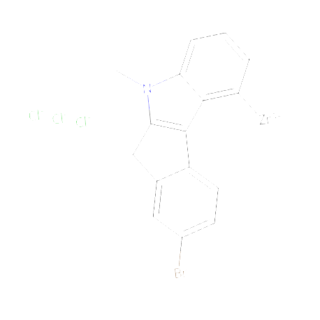 Cn1c2c(c3[c]([Zr+3])cccc31)-c1ccc(Br)cc1C2.[Cl-].[Cl-].[Cl-]